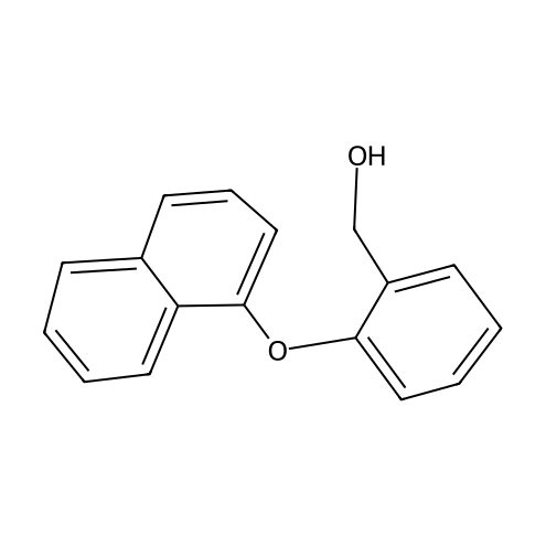 OCc1ccccc1Oc1cccc2ccccc12